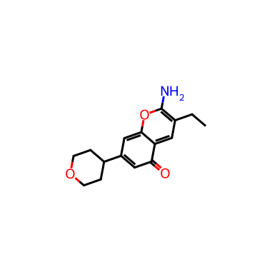 CCc1cc2c(=O)cc(C3CCOCC3)cc-2oc1N